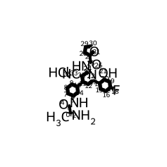 CC(N)C(=O)Nc1cccc(-c2cc(-c3ccc(F)cc3O)nc(NC(=O)c3ccco3)c2C#N)c1.Cl